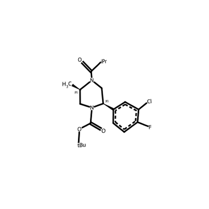 CC(C)C(=O)N1C[C@@H](c2ccc(F)c(Cl)c2)N(C(=O)OC(C)(C)C)C[C@H]1C